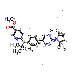 COC(=O)c1ccc(C(c2ccc(-c3cnc(-n4c(C)ccc4C)nc3)cc2)C(C)(C)C)nc1